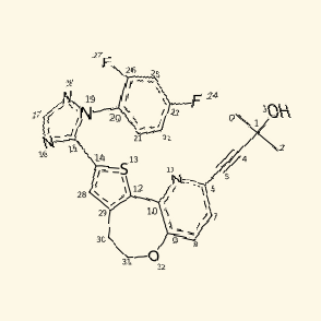 CC(C)(O)C#Cc1ccc2c(n1)-c1sc(-c3ncnn3-c3ccc(F)cc3F)cc1CCO2